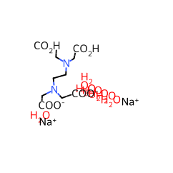 O.O.O.O.O.O.O.O=C([O-])CN(CCN(CC(=O)O)CC(=O)O)CC(=O)[O-].[Na+].[Na+]